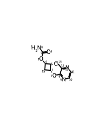 NC(=O)O[C@H]1C[C@H](Oc2nccnc2Cl)C1